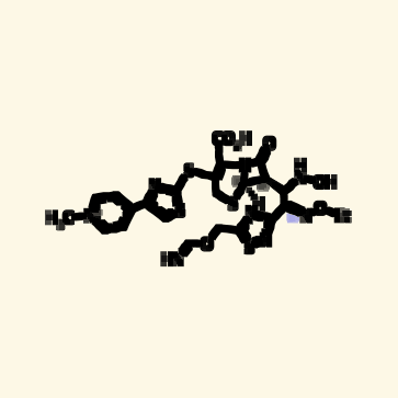 CCO/N=C(/c1nsc(COC=N)n1)C(NO)[C@@H]1C(=O)N2C(C(=O)O)=C(Sc3nc(-c4cc[n+](C)cc4)cs3)CS[C@H]12